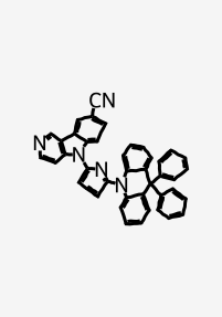 N#Cc1ccc2c(c1)c1cnccc1n2-c1cccc(N2c3ccccc3C(c3ccccc3)(c3ccccc3)c3ccccc32)n1